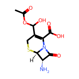 CC(=O)OC(O)C1=C(C(=O)O)N2C(=O)[C@H](N)[C@H]2SC1